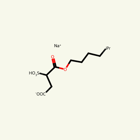 CC(C)CCCCOC(=O)C(CC(=O)[O-])S(=O)(=O)O.[Na+]